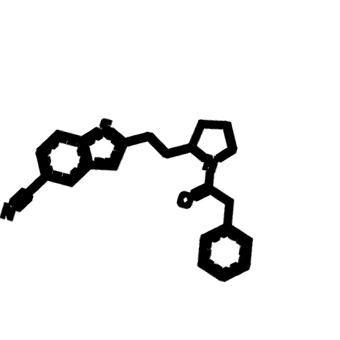 N#Cc1ccc2sc(CCC3CCCN3C(=O)Cc3ccccc3)cc2c1